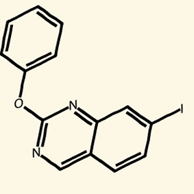 Ic1ccc2cnc(Oc3ccccc3)nc2c1